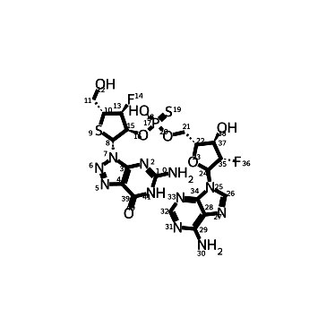 Nc1nc2c(nnn2[C@@H]2S[C@H](CO)[C@@H](F)[C@H]2OP(O)(=S)OC[C@H]2OC(n3cnc4c(N)ncnc43)[C@@H](F)[C@@H]2O)c(=O)[nH]1